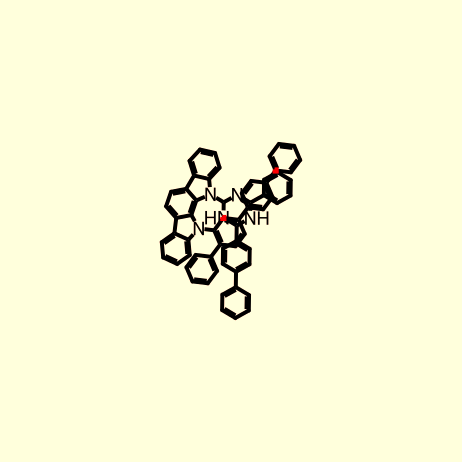 c1ccc(C2=NC(n3c4ccccc4c4ccc5c6ccccc6n(-c6cc(-c7ccc(-c8ccccc8)cc7)ccc6-c6ccccc6)c5c43)NC(c3ccc(-c4ccccc4)cc3)N2)cc1